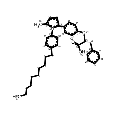 CCCCCCCCCCc1ccc(-n2c(C)ccc2-c2ccc(O[C@H](Cc3ccccc3)C(=O)O)cc2)cc1